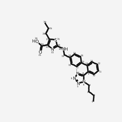 CCCCn1nnnc1-c1ccccc1-c1ccc(CNc2nc(C(=O)O)c(CCC)s2)cc1